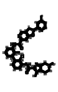 Cc1ccnc(N2Cc3cnc(C(=O)Nc4cccc(-c5cccc(NC(=O)c6nc7c(n6C)CCN(C)C7)c5Cl)c4C)cc3O2)c1